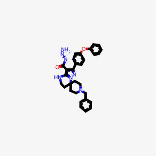 NN=NC(=O)c1c(-c2ccc(Oc3ccccc3)cc2)nn2c1NCCC21CCN(Cc2ccccc2)CC1